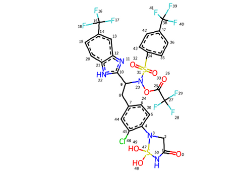 O=C1CN(c2ccc(CC(c3nc4cc(C(F)(F)F)ccc4[nH]3)N(OC(=O)C(F)(F)F)S(=O)(=O)c3ccc(C(F)(F)F)cc3)cc2Cl)S(O)(O)N1